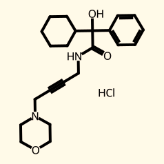 Cl.O=C(NCC#CCN1CCOCC1)C(O)(c1ccccc1)C1CCCCC1